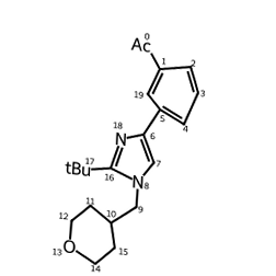 CC(=O)c1cccc(-c2cn(CC3CCOCC3)c(C(C)(C)C)n2)c1